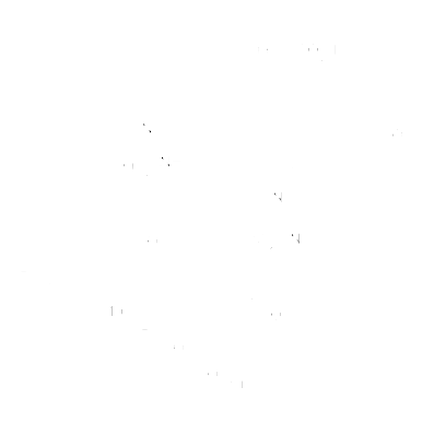 CCOc1ccc(C(=O)CCC(=O)Nc2cc(-c3ccc(O)cc3)c3ccccc3n2)cc1OCC.CCOc1ccc(C(=O)CCC(=O)Nc2cc(-c3ccc(OCC(=O)O)cc3)c3ccccc3n2)cc1OCC